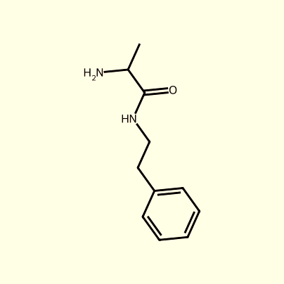 CC(N)C(=O)NCCc1ccccc1